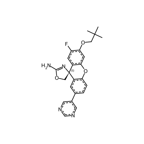 CC(C)(C)COc1cc2c(cc1F)[C@]1(COC(N)=N1)c1cc(-c3cncnc3)ccc1O2